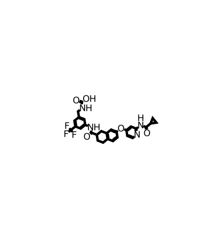 O=C(O)NCc1cc(NC(=O)C2CCc3ccc(Oc4ccnc(NC(=O)C5CC5)c4)cc3C2)cc(C(F)(F)F)c1